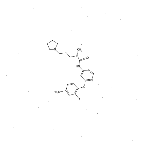 CN(CCCN1CCCC1)C(=O)Nc1cc(Oc2ccc(N)cc2F)ncn1